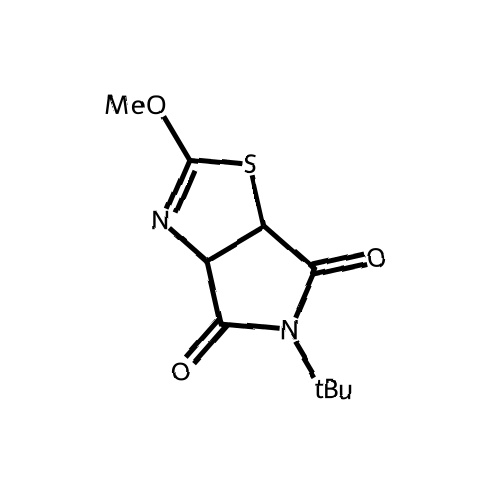 COC1=NC2C(=O)N(C(C)(C)C)C(=O)C2S1